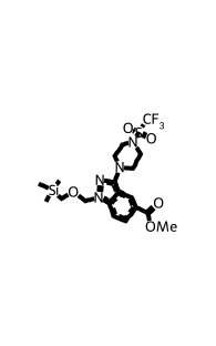 COC(=O)c1ccc2c(c1)c(N1CCN(S(=O)(=O)C(F)(F)F)CC1)nn2COC[Si](C)(C)C